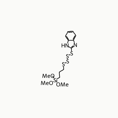 CO[Si](CCCSSSSc1nc2ccccc2[nH]1)(OC)OC